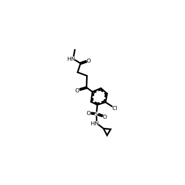 CNC(=O)CCC(=O)c1ccc(Cl)c(S(=O)(=O)NC2CC2)c1